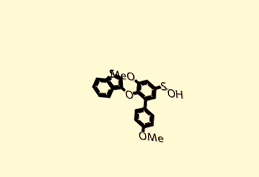 COc1ccc(-c2cc(SO)cc(OC)c2Oc2csc3ccccc23)cc1